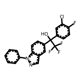 OC(c1ccc(F)c(Cl)c1)(c1ccc2c(cnn2-c2ccccc2)c1)C(F)(F)F